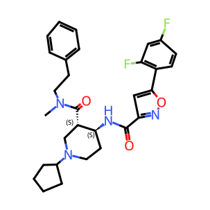 CN(CCc1ccccc1)C(=O)[C@H]1CN(C2CCCC2)CC[C@@H]1NC(=O)c1cc(-c2ccc(F)cc2F)on1